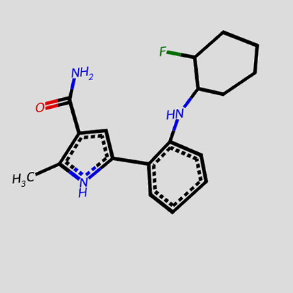 Cc1[nH]c(-c2ccccc2NC2CCCCC2F)cc1C(N)=O